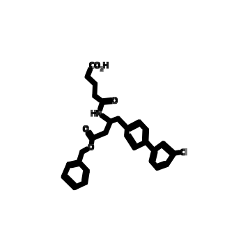 O=C(O)CCCC(=O)NC(CC(=O)OCc1ccccc1)Cc1ccc(-c2cccc(Cl)c2)cc1